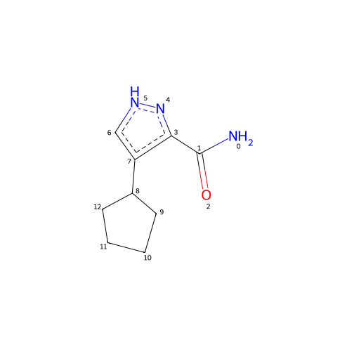 NC(=O)c1n[nH]cc1C1CCCC1